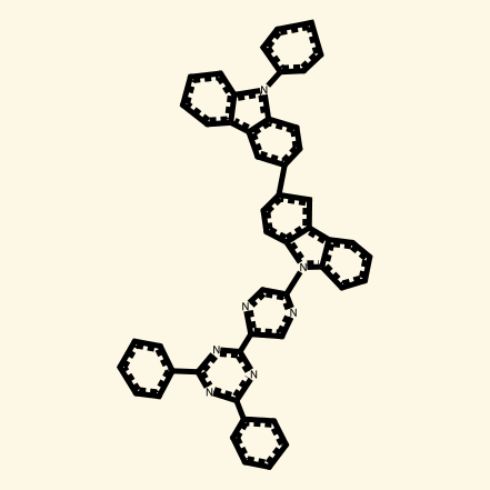 c1ccc(-c2nc(-c3ccccc3)nc(-c3cnc(-n4c5ccccc5c5cc(-c6ccc7c(c6)c6ccccc6n7-c6ccccc6)ccc54)cn3)n2)cc1